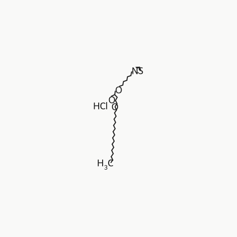 CCCCCCCCCCCCCCCCCCOCC1CC(COCCCCCCCN2C=CSC2)CO1.Cl